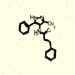 Cc1n[nH]c(-c2ccccc2)c1NC(=O)CCc1ccccc1